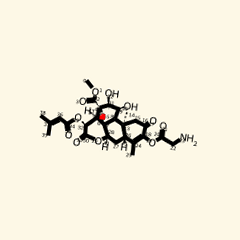 COC(=O)[C@@]12OC[C@]34C([C@@H](O)[C@@H]1O)[C@@]1(C)CC(=O)C(OC(=O)CN)=C(C)[C@@H]1C[C@H]3OC(=O)[C@H](OC(=O)C=C(C)C)[C@@H]24